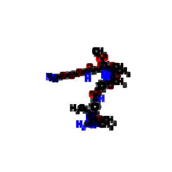 C=CCOC(=O)CC[C@H](NC(=O)CCCC(=O)NCCOCCOCCOCCN=[N+]=[N-])C(=O)N[C@H](C(=O)N[C@@H](C)C(=O)Nc1ccc(COC(=O)NC[C@H]2CC[C@H](Cn3c(CCCC)nc4c(N)nnc(OC(C)C)c43)CC2)cc1)C(C)C